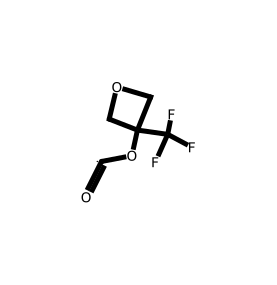 O=[C]OC1(C(F)(F)F)COC1